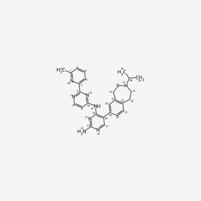 Cc1cccc(-c2nccc(Nc3nc(N)ncc3-c3ccc4c(c3)CCN(C(C)C)CC4)n2)n1